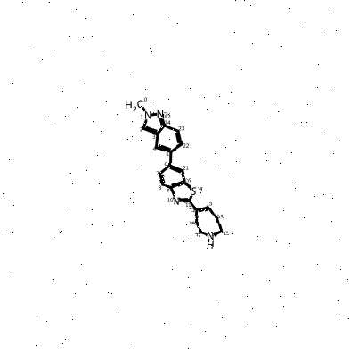 Cn1cc2cc(-c3ccc4nc(C5=CCCNCC5)sc4c3)ccc2n1